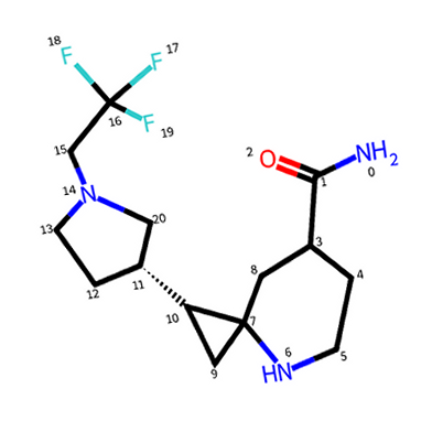 NC(=O)C1CCNC2(C1)CC2[C@@H]1CCN(CC(F)(F)F)C1